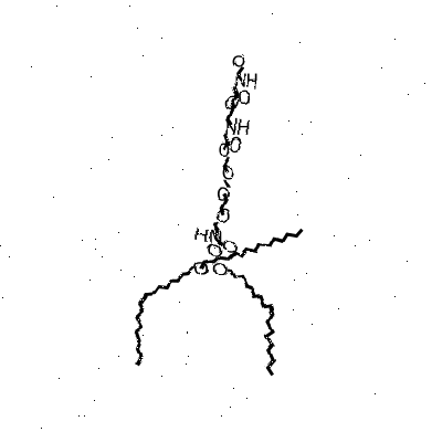 CCCCCCCC/C=C\CCCCCCCCOCC(OCCCCCCCC/C=C\CCCCCCCC)C(CCCCCCCCCCCC)OC(=O)NCCOCCOCCOCCOC(=O)CNCCOC(=O)CNCCOC